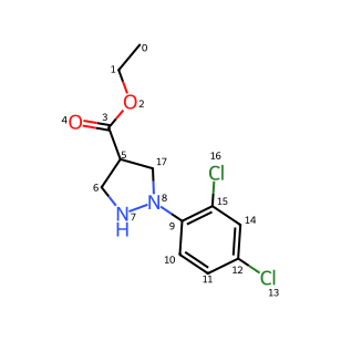 CCOC(=O)C1CNN(c2ccc(Cl)cc2Cl)C1